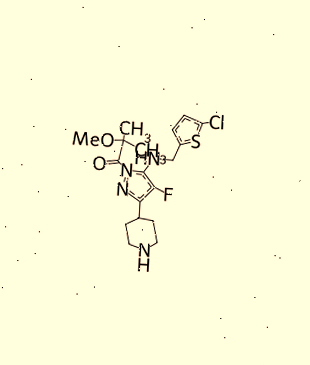 COC(C)(C)C(=O)n1nc(C2CCNCC2)c(F)c1NCc1ccc(Cl)s1